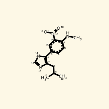 CNc1ccc(C2=C(CC(C)C)N=C[N]2)cc1[N+](=O)[O-]